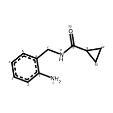 Nc1ccccc1CNC(=O)C1CC1